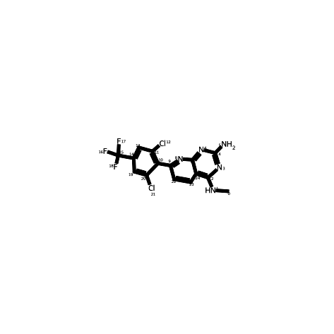 CNc1nc(N)nc2nc(-c3c(Cl)cc(C(F)(F)F)cc3Cl)ccc12